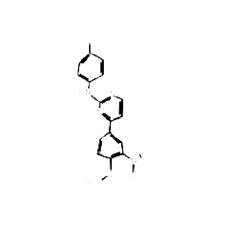 COc1ccc(-c2ccnc(Nc3ccc(Cl)cc3)n2)cc1[N+](=O)[O-]